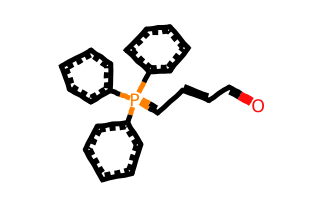 O=CC=CC=P(c1ccccc1)(c1ccccc1)c1ccccc1